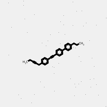 CCC#CCc1ccc(C#Cc2ccc(-c3ccc(CCC)cc3)cc2)cc1